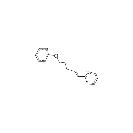 [c]1ccccc1C=CCCCOc1ccccc1